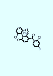 Cc1c(C(=O)c2ccc(F)cc2Cl)ccc(=O)n1-c1c(Cl)cccc1Cl